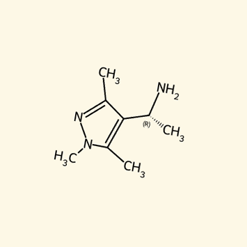 Cc1nn(C)c(C)c1[C@@H](C)N